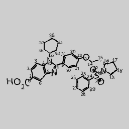 O=C(O)c1ccc2c(c1)nc(-c1ccc(OCC[C@@H]3CCCN3S(=O)(=O)c3ccccc3)cc1)n2C1CCCCC1